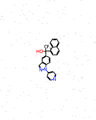 OC(c1ccc2c(cnn2-c2ccncc2)c1)(c1cccc2ccccc12)C(F)(F)F